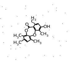 Cc1cc(C)c2c(c1C)OC(=O)c1c(C)cc(O)c(C)c1O2